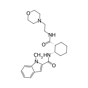 Cn1c(C(=O)N[C@H]2CCCC[C@H]2C(=O)NCCN2CCOCC2)cc2ccccc21